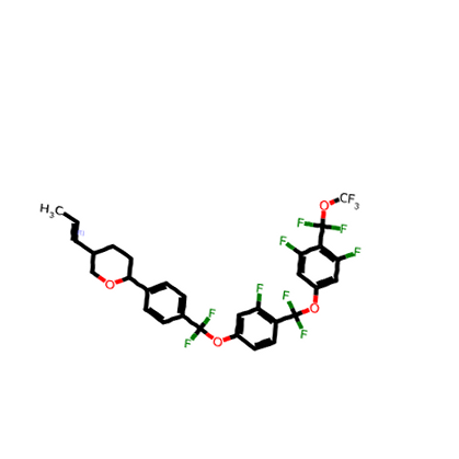 C/C=C/C1CCC(c2ccc(C(F)(F)Oc3ccc(C(F)(F)Oc4cc(F)c(C(F)(F)OC(F)(F)F)c(F)c4)c(F)c3)cc2)OC1